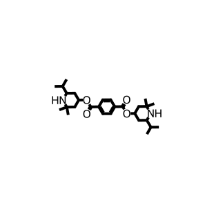 CC(C)C1CC(OC(=O)c2ccc(C(=O)OC3CC(C(C)C)NC(C)(C)C3)cc2)CC(C)(C)N1